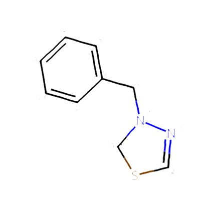 [C]1SC=NN1Cc1ccccc1